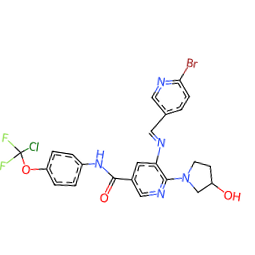 O=C(Nc1ccc(OC(F)(F)Cl)cc1)c1cnc(N2CCC(O)C2)c(N=Cc2ccc(Br)nc2)c1